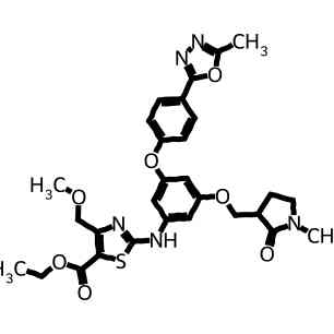 CCOC(=O)c1sc(Nc2cc(OCC3CCN(C)C3=O)cc(Oc3ccc(-c4nnc(C)o4)cc3)c2)nc1COC